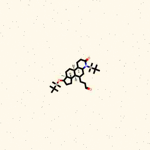 CC(C)(C)[Si](C)(C)OC1CC[C@H]2[C@@H]3C(CCC=O)CC4N([Si](C)(C)C(C)(C)C)C(=O)CC[C@]4(C)[C@@H]3CC[C@]12C